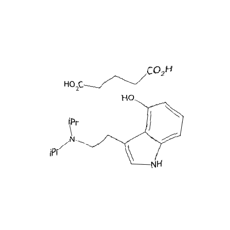 CC(C)N(CCc1c[nH]c2cccc(O)c12)C(C)C.O=C(O)CCCC(=O)O